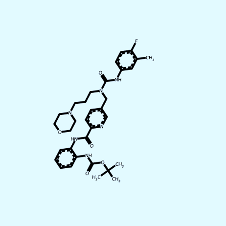 Cc1cc(NC(=O)N(CCCN2CCOCC2)Cc2ccc(C(=O)Nc3ccccc3NC(=O)OC(C)(C)C)nc2)ccc1F